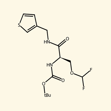 CC(C)(C)OC(=O)N[C@H](COC(F)F)C(=O)NCc1ccsc1